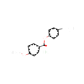 CCCCCCOc1ccc(C(=O)Oc2ccc(C(=O)O)cc2)cc1.Cl